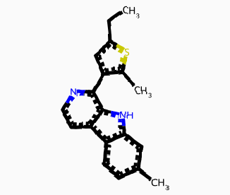 CCc1cc(-c2nccc3c2[nH]c2cc(C)ccc23)c(C)s1